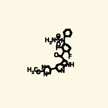 COc1ncc(-c2cnc3[nH]cc(C(=O)c4c(F)ccc(N(c5ccccc5)S(N)(=O)=O)c4F)c3c2)cn1